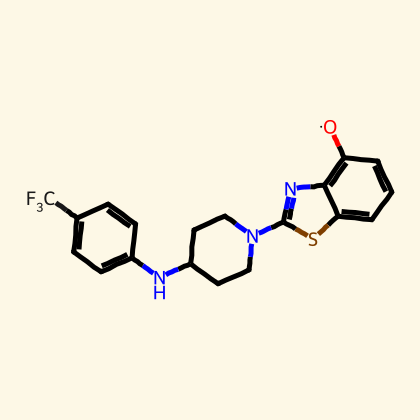 [O]c1cccc2sc(N3CCC(Nc4ccc(C(F)(F)F)cc4)CC3)nc12